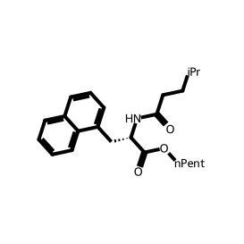 CCCCCOC(=O)[C@H](Cc1cccc2ccccc12)NC(=O)CCC(C)C